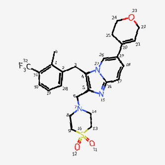 Cc1c(Cc2c(CN3CCS(=O)(=O)CC3)nc3ccc(C4=CCOCC4)cn23)cccc1C(F)(F)F